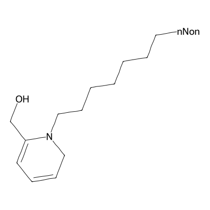 CCCCCCCCCCCCCCCCN1CC=CC=C1CO